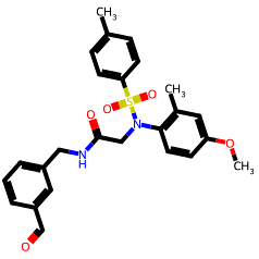 COc1ccc(N(CC(=O)NCc2cccc(C=O)c2)S(=O)(=O)c2ccc(C)cc2)c(C)c1